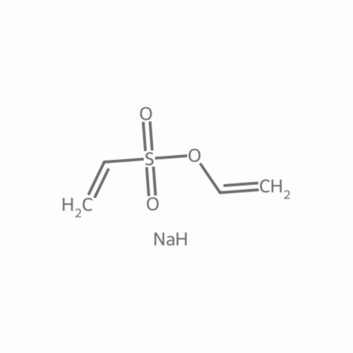 C=COS(=O)(=O)C=C.[NaH]